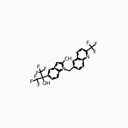 Cc1cc2cc(C(O)(C(F)(F)F)C(F)(F)F)ccc2n1Cc1ccc2nc(C(F)(F)F)ccc2c1